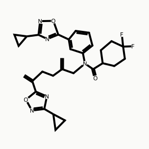 C=C(CCC(=C)c1nc(C2CC2)no1)CN(C(=O)C1CCC(F)(F)CC1)c1cccc(-c2nc(C3CC3)no2)c1